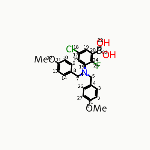 COc1ccc(CN(Cc2ccc(OC)cc2)c2cc(Cl)cc(B(O)O)c2F)cc1